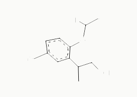 [CH2]C(CO)c1cc(Cl)ccc1OC(F)F